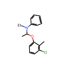 CCN(c1ccccc1)C(C)Oc1cccc(Cl)c1C